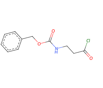 O=C(Cl)CCNC(=O)OCc1ccccc1